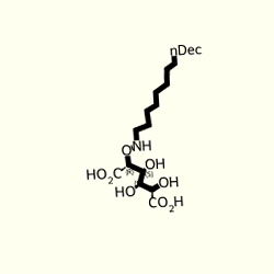 CCCCCCCCCCCCCCCCCCNO[C@@H](C(=O)O)[C@@H](O)[C@H](O)[C@H](O)C(=O)O